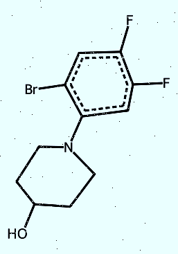 OC1CCN(c2cc(F)c(F)cc2Br)CC1